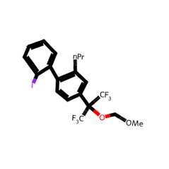 CCCc1cc(C(OCOC)(C(F)(F)F)C(F)(F)F)ccc1-c1cc[c]cc1I